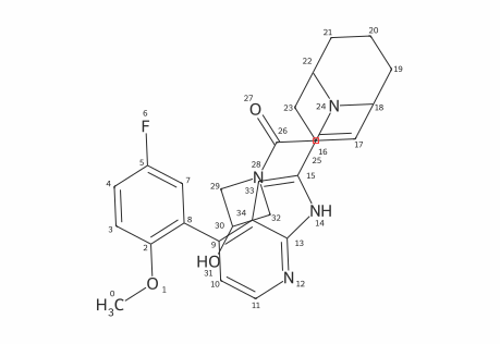 COc1ccc(F)cc1-c1ccnc2[nH]c(C3=CC4CCCC(C3)N4CC(=O)N3CC(O)C3)cc12